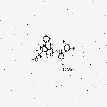 COCCN1C[C@@H](NC(=O)Nc2c(Cl)c(C(F)(F)CO)nn2-c2ccccc2)[C@H](c2cc(F)cc(F)c2)C1